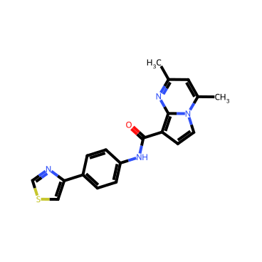 Cc1cc(C)n2ccc(C(=O)Nc3ccc(-c4cscn4)cc3)c2n1